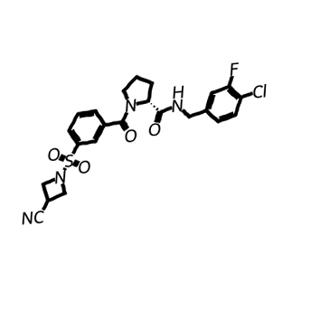 N#CC1CN(S(=O)(=O)c2cccc(C(=O)N3CCC[C@@H]3C(=O)NCc3ccc(Cl)c(F)c3)c2)C1